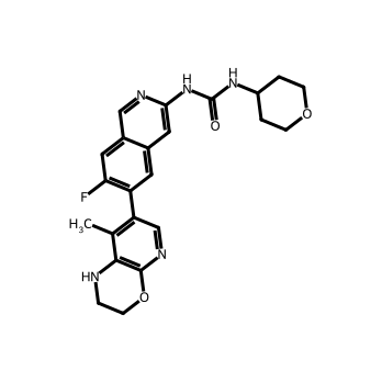 Cc1c(-c2cc3cc(NC(=O)NC4CCOCC4)ncc3cc2F)cnc2c1NCCO2